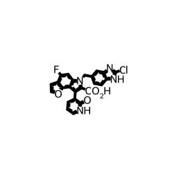 O=C(O)c1c(-c2ccc[nH]c2=O)c2c3occc3c(F)cc2n1Cc1ccc2[nH]c(Cl)nc2c1